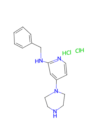 Cl.Cl.c1ccc(CNc2cc(N3CCNCC3)ccn2)cc1